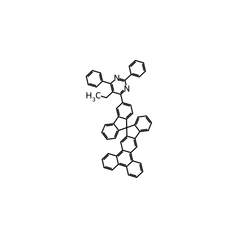 CCc1c(-c2ccccc2)nc(-c2ccccc2)nc1-c1ccc2c(c1)-c1ccccc1C21c2ccccc2-c2cc3c4ccccc4c4ccccc4c3cc21